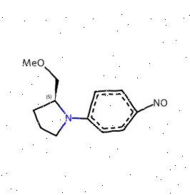 COC[C@@H]1CCCN1c1ccc(N=O)cc1